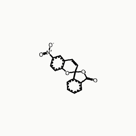 O=C1OC2(C=Cc3cc([N+](=O)[O-])ccc3O2)c2ccccc21